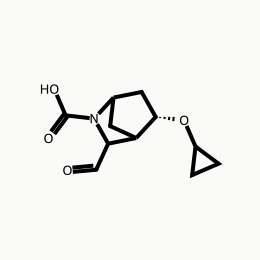 O=CC1C2CC(C[C@@H]2OC2CC2)N1C(=O)O